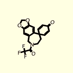 O=C1C=CC2(C=C1)CCN(C(=O)C(F)(F)F)Cc1cc3c(cc12)OCO3